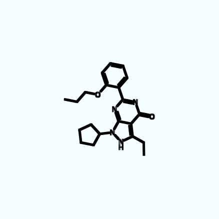 CCCOc1ccccc1-c1nc2n(C3CCCC3)[nH]c(CC)c-2c(=O)n1